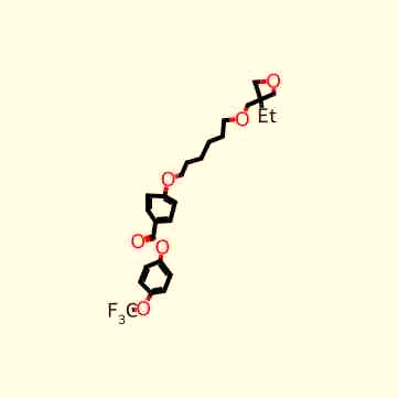 CCC1(COCCCCCCOc2ccc(C(=O)Oc3ccc(OC(F)(F)F)cc3)cc2)COC1